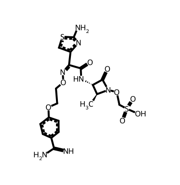 C[C@H]1[C@H](NC(=O)/C(=N\OCCOc2ccc(C(=N)N)cc2)c2csc(N)n2)C(=O)N1OCS(=O)(=O)O